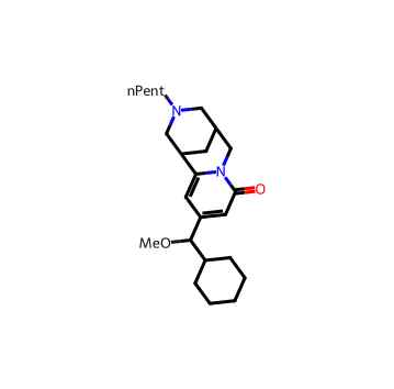 CCCCCN1CC2CC(C1)c1cc(C(OC)C3CCCCC3)cc(=O)n1C2